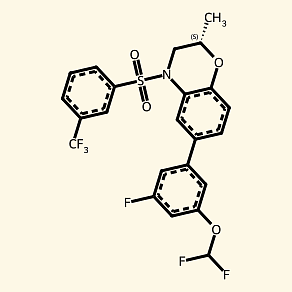 C[C@H]1CN(S(=O)(=O)c2cccc(C(F)(F)F)c2)c2cc(-c3cc(F)cc(OC(F)F)c3)ccc2O1